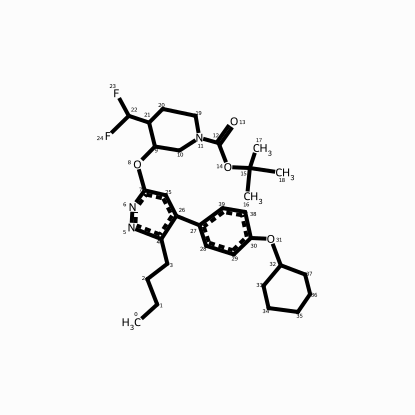 CCCCc1nnc(OC2CN(C(=O)OC(C)(C)C)CCC2C(F)F)cc1-c1ccc(OC2CCCCC2)cc1